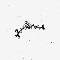 C=C(C)COOCCOP(=O)(O)OCCOC(=O)C(=C)C